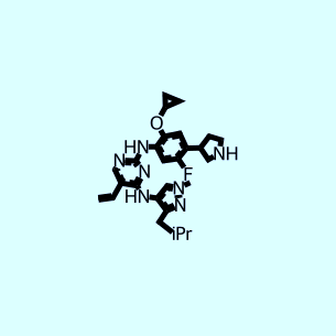 C=Cc1cnc(Nc2cc(F)c(C3CCNC3)cc2OC2CC2)nc1Nc1cn(C)nc1CC(C)C